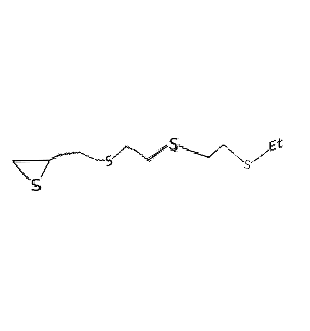 CCSCCSCCSCC1CS1